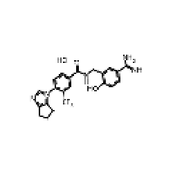 Cl.N=C(N)c1ccc(O)c(CNC(=O)c2ccc(-n3cnc4c3CCC4)c(C(F)(F)F)c2)c1